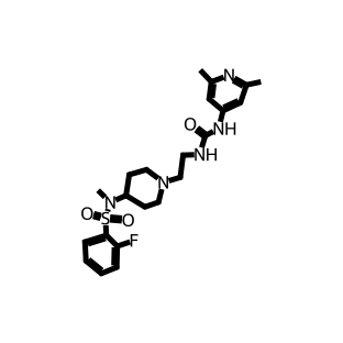 Cc1cc(NC(=O)NCCN2CCC(N(C)S(=O)(=O)c3ccccc3F)CC2)cc(C)n1